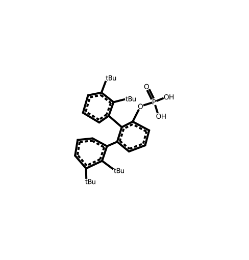 CC(C)(C)c1cccc(-c2cccc(OP(=O)(O)O)c2-c2cccc(C(C)(C)C)c2C(C)(C)C)c1C(C)(C)C